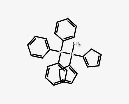 [CH3][Ti]([C]1=CC=CC1)([C]1=CC=CC1)[Si](c1ccccc1)(c1ccccc1)c1ccccc1